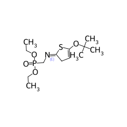 CCOP(=O)(C/N=C1\CC=C(OC(C)(C)C)S1)OCC